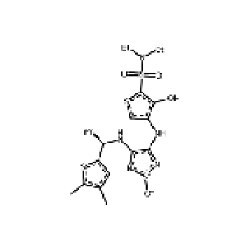 CCN(CC)S(=O)(=O)c1scc(Nc2n[s+]([O-])nc2N[C@@H](c2cc(C)c(C)s2)C(C)C)c1O